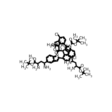 CC(C)(C)OC(=O)C(N)CC(N)c1ccc2c(c1)cc(-c1ccc(Cl)c3c1C(C(=O)C1NCc4c(Cl)ccc(-c5cc6cc(C(N)CC(N)C(=O)OC(C)(C)C)ccc6n5C(=O)OC(C)(C)C)c41)NC3)n2C(=O)OC(C)(C)C